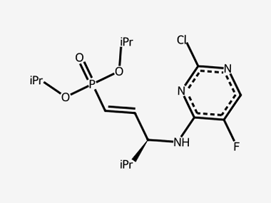 CC(C)OP(=O)(/C=C/[C@@H](Nc1nc(Cl)ncc1F)C(C)C)OC(C)C